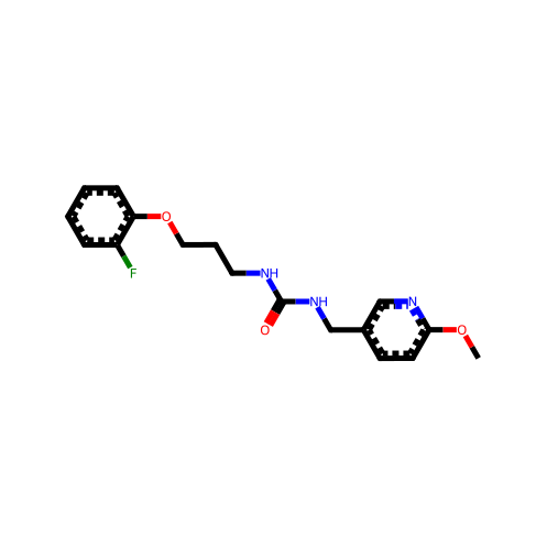 COc1ccc(CNC(=O)NCCCOc2ccccc2F)cn1